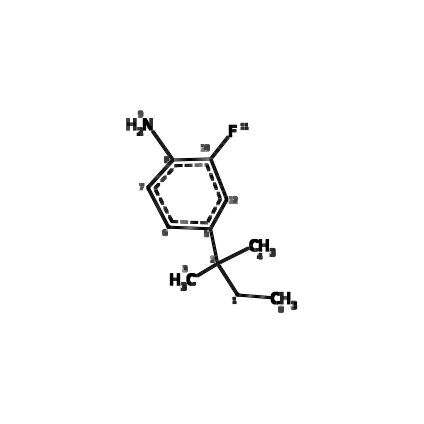 CCC(C)(C)c1ccc(N)c(F)c1